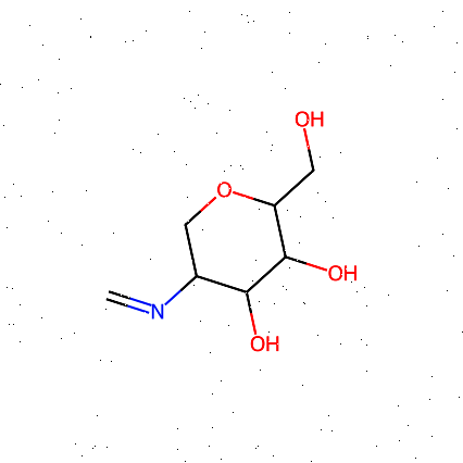 C=NC1COC(CO)C(O)C1O